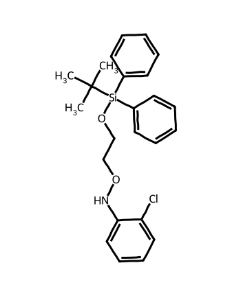 CC(C)(C)[Si](OCCONc1ccccc1Cl)(c1ccccc1)c1ccccc1